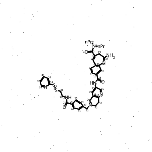 CCCN(CCC)C(=O)C1=Cc2ccc(C(=O)Nc3cnc4c(c3)CN(Cc3ccc(C(=O)NCCSSc5ccccn5)cc3)CC4)cc2N=C(N)C1